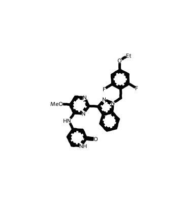 CCOc1cc(F)c(Cn2nc(-c3ncc(OC)c(Nc4cc[nH]c(=O)c4)n3)c3ccccc32)c(F)c1